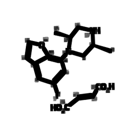 C[C@H]1CN(c2cc(F)cc3ccoc23)[C@@H](C)CN1.O=C(O)/C=C/C(=O)O